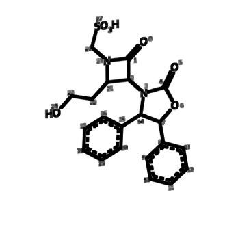 O=C1C(N2C(=O)OC(c3ccccc3)C2c2ccccc2)C(CCO)N1CS(=O)(=O)O